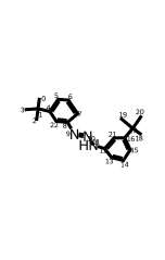 CC(C)(C)c1cccc(/N=N/Nc2cccc(C(C)(C)C)c2)c1